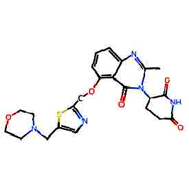 Cc1nc2cccc(OCc3ncc(CN4CCOCC4)s3)c2c(=O)n1C1CCC(=O)NC1=O